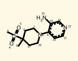 CC1(S(C)(=O)=O)CCN(c2ccncc2N)CC1